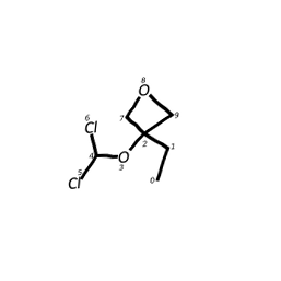 CCC1(OC(Cl)Cl)COC1